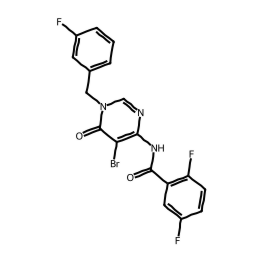 O=C(Nc1ncn(Cc2cccc(F)c2)c(=O)c1Br)c1cc(F)ccc1F